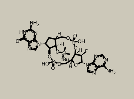 CC(C)(C)[Si](C)(C)O[C@@H]1[C@H]2COP(=O)(O)O[C@H]3[C@@H](F)[C@H](n4cnc5c(N)ncnc54)O[C@@H]3COP(=O)(O)O[C@H]1[C@H](n1cnc3c(=O)[nH]c(N)nc31)C2